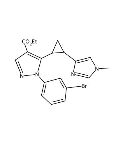 CCOC(=O)c1cnn(-c2cccc(Br)c2)c1C1CC1c1cn(C)cn1